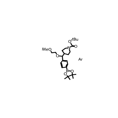 COCCOC(c1ccc(B2OC(C)(C)C(C)(C)O2)cc1)C1CCN(C(=O)OC(C)(C)C)CC1.[Ar]